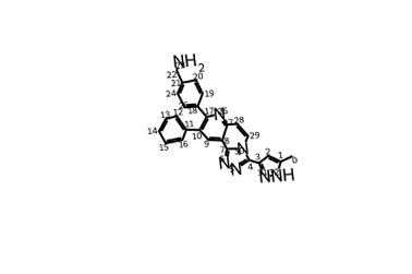 Cc1cc(-c2nnc3c4cc(-c5ccccc5)c(-c5ccc(CN)cc5)nc4ccn23)n[nH]1